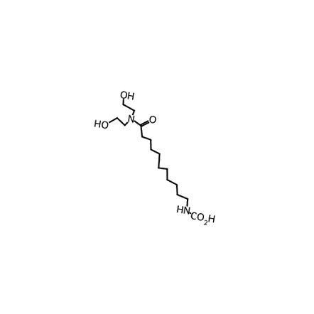 O=C(O)NCCCCCCCCCCC(=O)N(CCO)CCO